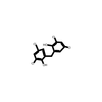 Oc1c(Cl)cc(Cl)cc1Cc1cc(Cl)cc(Cl)c1O